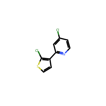 Clc1ccnc(-c2ccsc2Cl)c1